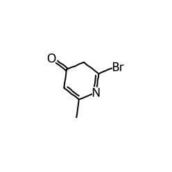 CC1=CC(=O)CC(Br)=N1